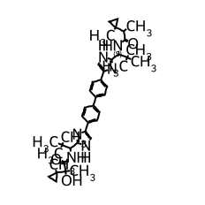 CC(C(=O)N[C@H](c1nc(-c2ccc(-c3ccc(-c4c[nH]c(C(NC(=O)C(C)(O)C5(C)CC5)C(C)(C)C)n4)cc3)cc2)c[nH]1)C(C)(C)C)C1(C)CC1